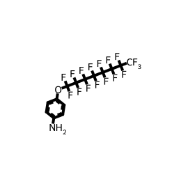 Nc1ccc(OC(F)(F)C(F)(F)C(F)(F)C(F)(F)C(F)(F)C(F)(F)C(F)(F)C(F)(F)F)cc1